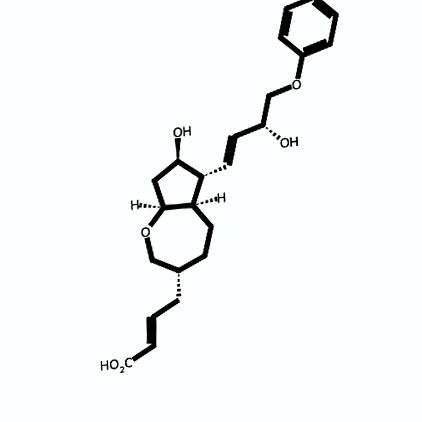 O=C(O)/C=C/C[C@H]1CC[C@@H]2[C@@H](/C=C/[C@@H](O)COc3ccccc3)[C@H](O)C[C@@H]2OC1